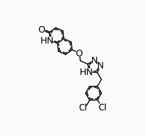 O=c1ccc2cc(OCc3nnc(Cc4ccc(Cl)c(Cl)c4)[nH]3)ccc2[nH]1